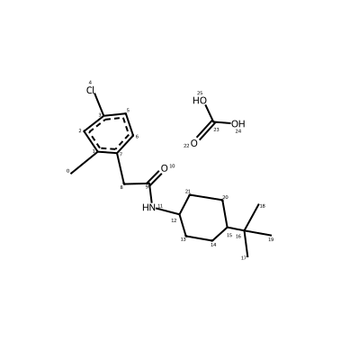 Cc1cc(Cl)ccc1CC(=O)NC1CCC(C(C)(C)C)CC1.O=C(O)O